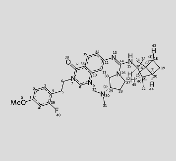 COc1ccc(CCn2cnc3cc(N=C(N[C@H]4C[C@@H]5C[C@@H]([C@H]4C)C5(C)C)N4CC[C@H](N(C)C)C4)ccc3c2=O)c(F)c1